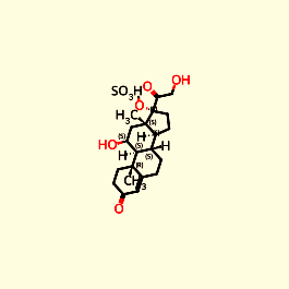 C[C@]12CCC(=O)C=C1CC[C@@H]1[C@@H]2[C@@H](O)C[C@@]2(C)[C@H]1CC[C@]2(OS(=O)(=O)O)C(=O)CO